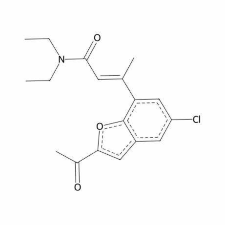 CCN(CC)C(=O)C=C(C)c1cc(Cl)cc2cc(C(C)=O)oc12